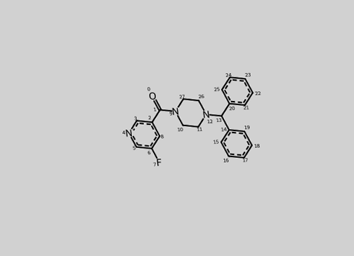 O=C(c1cncc(F)c1)N1CCN(C(c2ccccc2)c2ccccc2)CC1